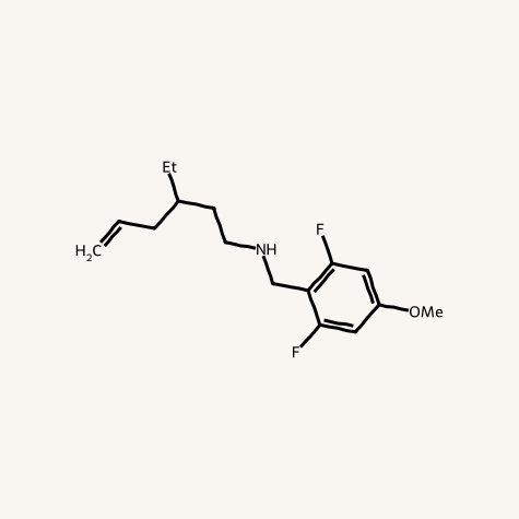 C=CCC(CC)CCNCc1c(F)cc(OC)cc1F